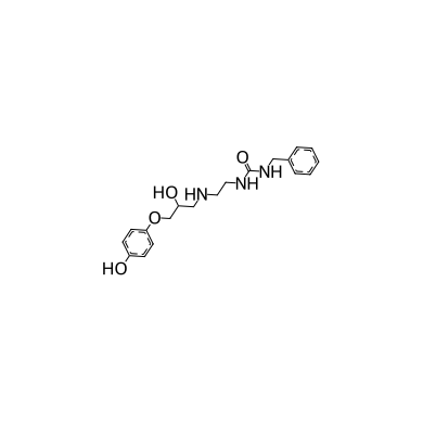 O=C(NCCNCC(O)COc1ccc(O)cc1)NCc1ccccc1